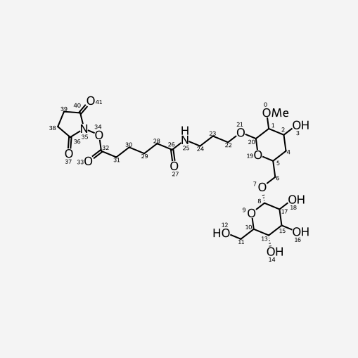 COC1C(O)CC(CO[C@H]2OC(CO)[C@@H](O)C(O)C2O)OC1OCCCNC(=O)CCCCC(=O)ON1C(=O)CCC1=O